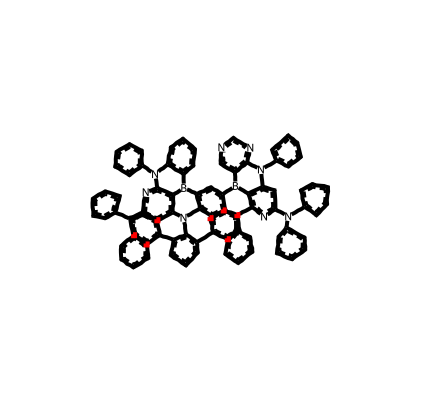 c1ccc(-c2cccc(-c3ccccc3)c2N2c3cc4c(cc3B3c5ccccc5N(c5ccccc5)c5nc(N(c6ccccc6)c6ccccc6)cc2c53)B2c3cncnc3N(c3ccccc3)c3cc(N(c5ccccc5)c5ccccc5)nc(c32)N4c2ccccc2)cc1